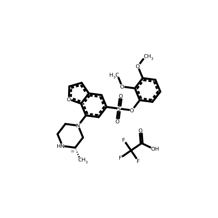 COc1cccc(OS(=O)(=O)c2cc(N3CCN[C@@H](C)C3)c3occc3c2)c1OC.O=C(O)C(F)(F)F